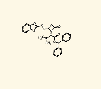 C=C(C)[C@H](C(=O)OC(c1ccccc1)c1ccccc1)N1C(=O)C[C@H]1SSc1nc2ccccc2s1